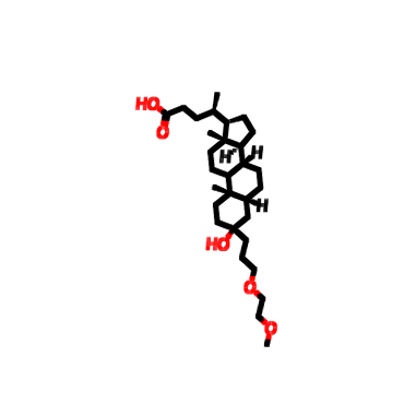 COCCOCCC[C@]1(O)CC[C@]2(C)C3CC[C@]4(C)[C@@H]([C@H](C)CCC(=O)O)CC[C@H]4[C@@H]3CC[C@@H]2C1